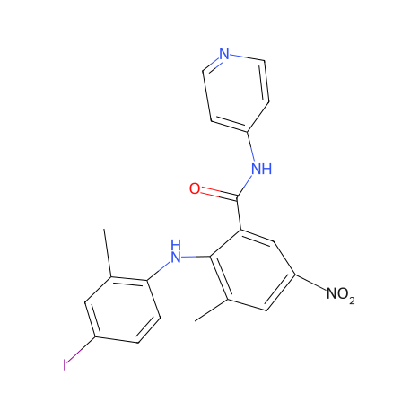 Cc1cc(I)ccc1Nc1c(C)cc([N+](=O)[O-])cc1C(=O)Nc1ccncc1